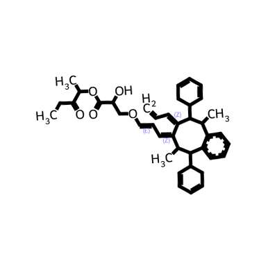 C=C\C=C1/C(=C\C=C\OCC(O)C(=O)OC(C)C(=O)CC)C(C)C(C2C=CC=CC2)c2ccccc2C(C)C1C1C=CC=CC1